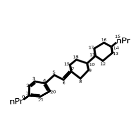 CCCc1ccc(CC=C2CCC(C3CCC(CCC)CC3)CC2)cc1